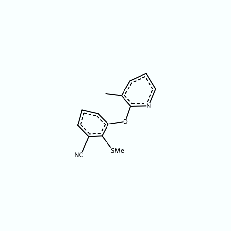 CSc1c(C#N)cccc1Oc1ncccc1C